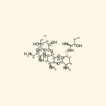 CCC(O)C(=N)NC[C@@H]1CCC(N)[C@@H](OC2C(O)C(O[C@H]3OCC(C)(O)[C@H](C)C3O)[C@H](NC(=N)C(O)CN)C[C@@H]2N)O1